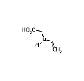 C=CN(Cl)CC(=O)O